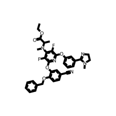 CCOC(=O)C(C)N(C)c1c(F)c(Oc2cccc(C3=NCCN3C)c2)nc(Oc2cc(C#N)ccc2OCc2ccccc2)c1F